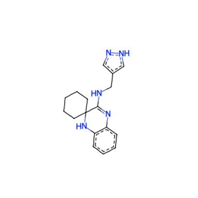 c1ccc2c(c1)N=C(NCc1cn[nH]c1)C1(CCCCC1)N2